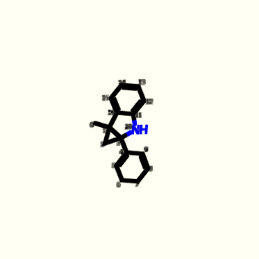 CC12CC1(C1=CCCC=C1)Nc1ccccc12